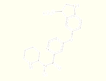 CCN(C(=O)c1cc(Oc2ccc3c(c2)C(C(=O)O)CN3)ccn1)C1CCCCN1